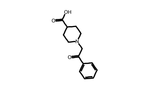 O=C(CN1CCC(C(=O)O)CC1)c1ccccc1